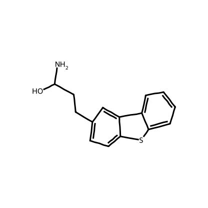 NC(O)CCc1ccc2sc3ccccc3c2c1